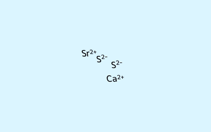 [Ca+2].[S-2].[S-2].[Sr+2]